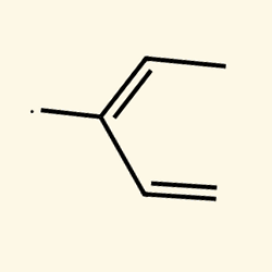 [CH2]C(C=C)=CC